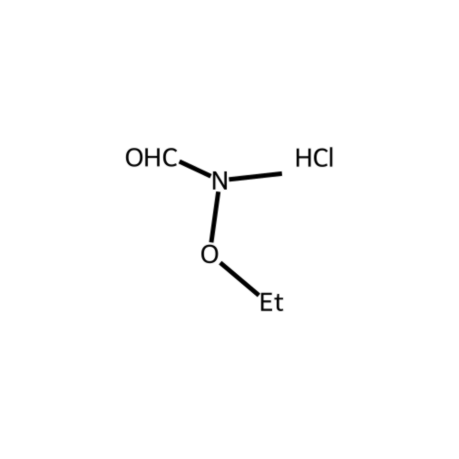 CCON(C)C=O.Cl